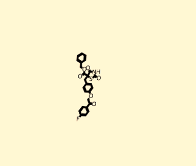 O=C1NC(=O)C(Cc2ccc(OCC(=O)c3ccc(F)cc3)cc2)(C(=O)OCc2ccccc2)S1